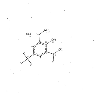 C[S+]([O-])c1cc(C(C)(C)C)cc(CN)c1O.Cl